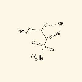 NS(=O)(=O)c1n[nH]cc1C(=O)O